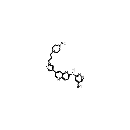 CC(=O)N1CCN(CCCn2cc(-c3cnc4ccc(Nc5cc(C(C)C)cnn5)nc4c3)cn2)CC1